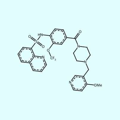 COc1ccncc1CN1CCN(C(=O)c2ccc(NS(=O)(=O)c3cccc4cccnc34)c(OC(F)(F)F)c2)CC1